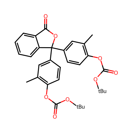 Cc1cc(C2(c3ccc(OC(=O)OC(C)(C)C)c(C)c3)OC(=O)c3ccccc32)ccc1OC(=O)OC(C)(C)C